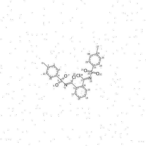 Cc1ccc(S(=O)(=O)N=C(Cl)c2ccccc2C(Cl)=NS(=O)(=O)c2ccc(C)cc2)cc1